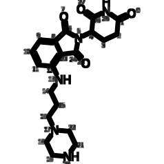 O=C1CCC(N2C(=O)c3cccc(NCCCN4CCNCC4)c3C2=O)C(=O)N1